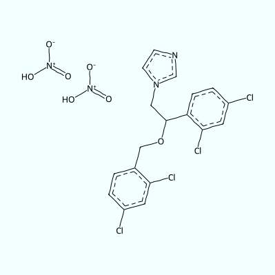 Clc1ccc(COC(Cn2ccnc2)c2ccc(Cl)cc2Cl)c(Cl)c1.O=[N+]([O-])O.O=[N+]([O-])O